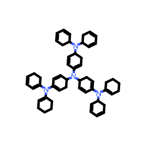 C1=CCCC(N(C2=CCC(N(C3=CCC(N(C4C=CC=CC4)C4C=CC=CC4)C=C3)C3C=CC(N(C4=CCCCC4)C4C=CC=CC4)=CC3)C=C2)C2=CCCCC2)=C1